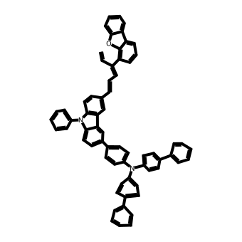 C=C/C(=C\C=C\c1ccc2c(c1)c1cc(-c3ccc(N(c4ccc(-c5ccccc5)cc4)c4ccc(-c5ccccc5)cc4)cc3)ccc1n2-c1ccccc1)c1cccc2c1oc1ccccc12